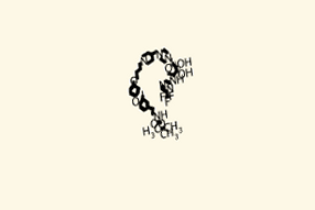 CC(C)(C)OC(=O)NCCc1ccc(Oc2ccc(OCCCCN3CCC(CN4CCN(C[C@H]5OC[C@H](Nc6cncc(C(F)(F)F)n6)[C@@H](O)[C@H]5O)CC4)CC3)cc2)c(I)c1